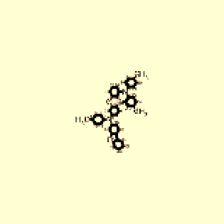 Cc1ccc(N(c2ccc3c(c2)Oc2cccc4c2B3c2cc(C)ccc2N4c2ccc(C)cc2)c2ccc3c(c2)oc2ccccc23)cc1